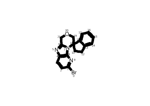 Brc1ccc2nc3n(c2n1)C1(CCc2ccccc21)COC3